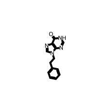 O=c1[nH]cnc2c1ncn2CCc1ccccc1